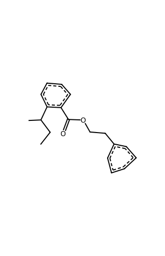 CCC(C)c1ccccc1C(=O)OCCc1ccccc1